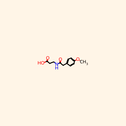 COc1ccc(CC(=O)NCCC(=O)O)cc1